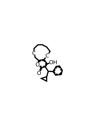 O=c1oc2c(c(O)c1C(c1ccccc1)C1CC1)CCCCCCCC2